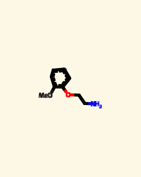 COc1cc[c]cc1OCCN